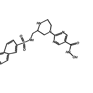 O=C(NO)c1cnc(N2CCNC(CNS(=O)(=O)c3ccc4ccccc4c3)C2)nc1